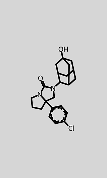 O=C1N(C2C3CC4CC2CC(O)(C4)C3)CC2(c3ccc(Cl)cc3)CCCN12